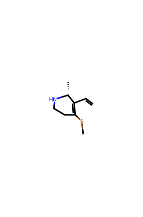 C=CC1=C(SC)CCN[C@@H]1C